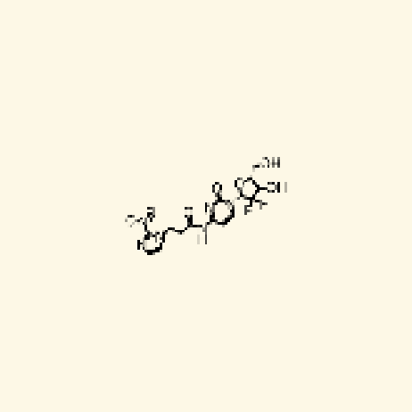 O=C(CCn1ccnc1[N+](=O)[O-])Nc1ccn([C@@H]2O[C@H](CO)C(O)C2(F)F)c(=O)n1